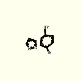 CC(C)c1ccc(Br)cc1.c1cnoc1